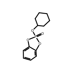 O=P1(OC2CCCCC2)Oc2ccccc2O1